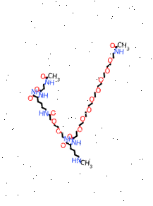 CNCCCCC(NC(=O)CCOCCOCCOCCOCCOCCOCCOCCOCCNC(C)=O)C(=O)NCCOCCOCC(=O)NCCCCC(NC(=O)CCNC(C)=O)C(N)=O